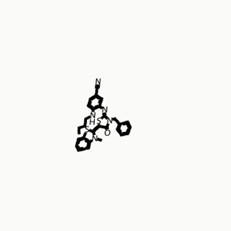 CCCCNc1ccc(C#N)cc1/N=C1\S/C(=C2\Sc3ccccc3N2C)C(=O)N1Cc1ccccc1